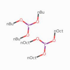 CCCCCCCCOP(OCCCCCCCC)OCCCCCCCC.CCCCOP(OCCCC)OCCCC